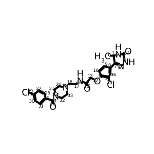 CC1NC(=O)NN=C1c1ccc(OCC(=O)NCCN2CCN(C(=O)c3ccc(Cl)cc3)CC2)c(Cl)c1